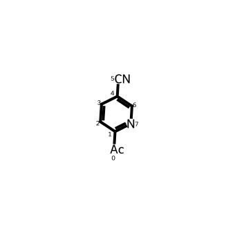 CC(=O)c1ccc(C#N)cn1